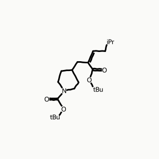 CC(C)CC=C(CC1CCN(C(=O)OC(C)(C)C)CC1)C(=O)OC(C)(C)C